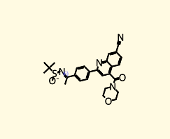 C/C(=N\[S+]([O-])C(C)(C)C)c1ccc(-c2cc(C(=O)N3CCOCC3)c3ccc(C#N)cc3n2)cc1